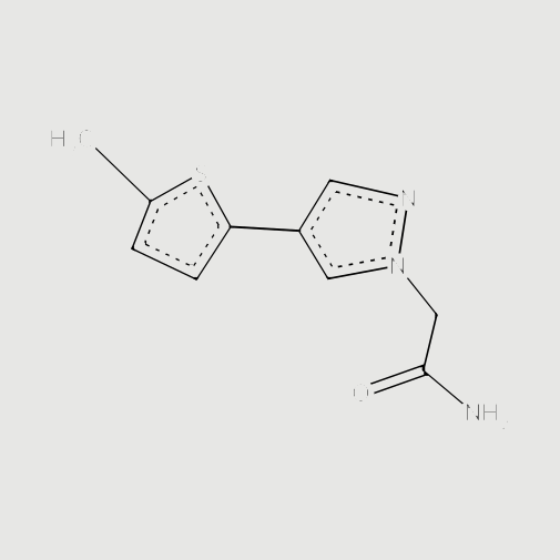 Cc1ccc(-c2cnn(CC(N)=O)c2)s1